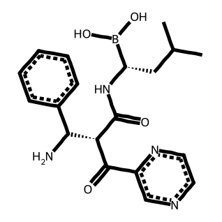 CC(C)C[C@H](NC(=O)[C@H](C(=O)c1cnccn1)C(N)c1ccccc1)B(O)O